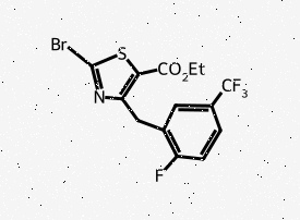 CCOC(=O)c1sc(Br)nc1Cc1cc(C(F)(F)F)ccc1F